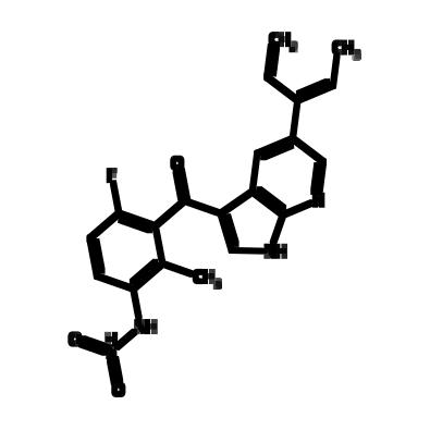 C=C/C(=C\C)c1cnc2[nH]cc(C(=O)c3c(F)ccc(N[SH](=O)=O)c3C)c2c1